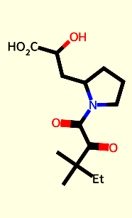 CCC(C)(C)C(=O)C(=O)N1CCCC1CC(O)C(=O)O